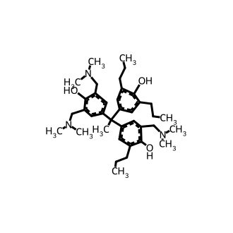 CCCc1cc(C(C)(c2cc(CCC)c(O)c(CN(C)C)c2)c2cc(CN(C)C)c(O)c(CN(C)C)c2)cc(CCC)c1O